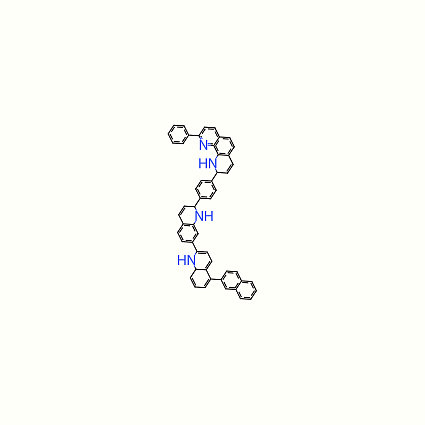 C1=CC2NC(c3ccc4c(c3)NC(c3ccc(C5C=Cc6ccc7ccc(-c8ccccc8)nc7c6N5)cc3)C=C4)=CC=C2C(c2ccc3ccccc3c2)=C1